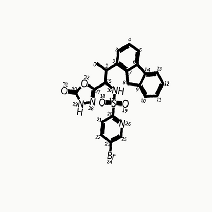 CC(c1cccc2c1Cc1ccccc1-2)C(NS(=O)(=O)c1ccc(Br)cn1)c1n[nH]c(=O)o1